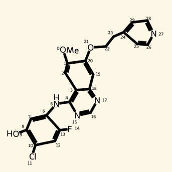 COc1cc2c(Nc3cc(O)c(Cl)cc3F)ncnc2cc1OCCc1ccncc1